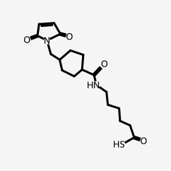 O=C(S)CCCCCNC(=O)C1CCC(CN2C(=O)C=CC2=O)CC1